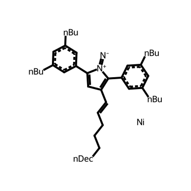 CCCCCCCCCCCCCC=CC1=C(c2cc(CCCC)cc(CCCC)c2)[N+](=[N-])C(c2cc(CCCC)cc(CCCC)c2)=C1.[Ni]